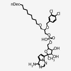 CCCCCCCCCCCCCCCCCCOC[C@H](COP(=O)(O)OCC1O[C@@](C)(c2ccc3c(N)ncnn23)[C@H](O)[C@@H]1O)OCc1ccc(Cl)c(Cl)c1